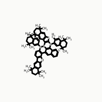 Cc1cc2c(cc1N1c3sc4cc5c(cc4c3B3c4c(cc6ccccc6c41)-c1c(ccc4c1oc1cc6c(cc14)C(C)(C)CCC6(C)C)N3c1ccc3c(c1)C(C)(C)CCC3(C)C)C(C)(C)CCC5(C)C)C(C)(C)CCC2(C)C